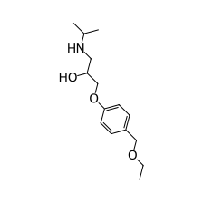 CCOCc1ccc(OCC(O)CNC(C)C)cc1